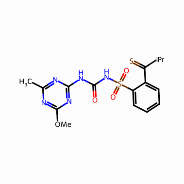 COc1nc(C)nc(NC(=O)NS(=O)(=O)c2ccccc2C(=S)C(C)C)n1